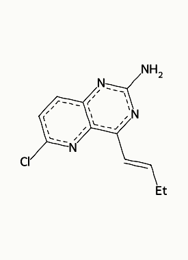 CCC=Cc1nc(N)nc2ccc(Cl)nc12